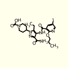 CCCOc1ncc(I)cc1C(=O)Nc1c(C(N)=O)nn(C2CCN(C(=O)O)CC2)c1CC